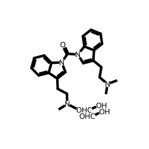 CN(C)CCc1cn(C(=O)n2cc(CCN(C)C)c3ccccc32)c2ccccc12.O=CO.O=CO